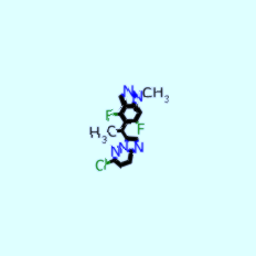 CC(c1c(F)cc2c(cnn2C)c1F)c1cnc2ccc(Cl)nn12